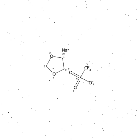 C1COCO1.O=S(=O)([O-])C(F)(F)F.[Na+]